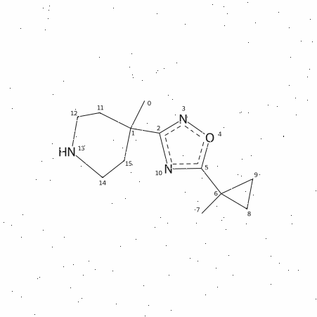 CC1(c2noc(C3(C)CC3)n2)CCNCC1